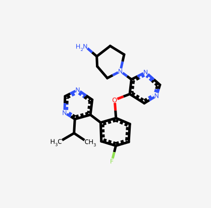 CC(C)c1ncncc1-c1cc(F)ccc1Oc1cncnc1N1CCC(N)CC1